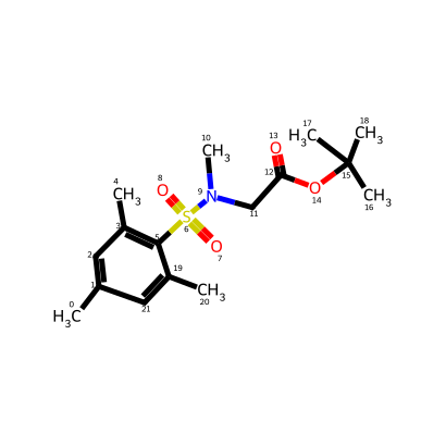 Cc1cc(C)c(S(=O)(=O)N(C)CC(=O)OC(C)(C)C)c(C)c1